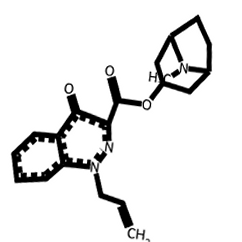 C=CCn1nc(C(=O)OC2CC3CCC(C2)N3C)c(=O)c2ccccc21